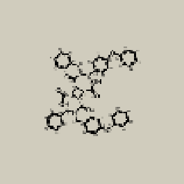 O=C(O)[C@H]1[C@H](C(=O)N(Cc2ccccc2)Cc2ccc(Oc3ccccc3)cc2)[C@H](C(=O)O)[C@H]1C(=O)N(Cc1ccccc1)Cc1ccc(Oc2ccccc2)cc1